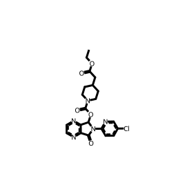 CCOC(=O)CC1CCN(C(=O)OC2c3nccnc3C(=O)N2c2ccc(Cl)cn2)CC1